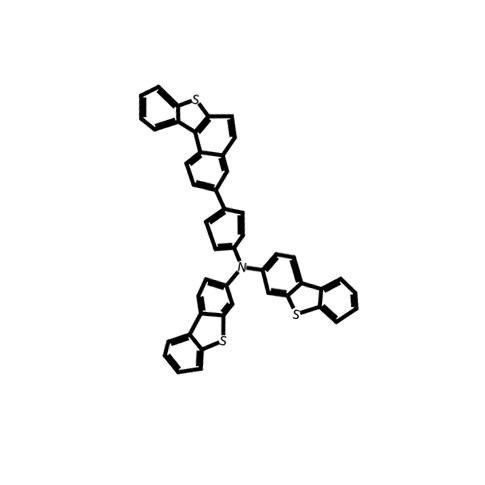 c1ccc2c(c1)sc1cc(N(c3ccc(-c4ccc5c(ccc6sc7ccccc7c65)c4)cc3)c3ccc4c(c3)sc3ccccc34)ccc12